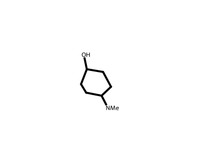 [CH2]NC1CCC(O)CC1